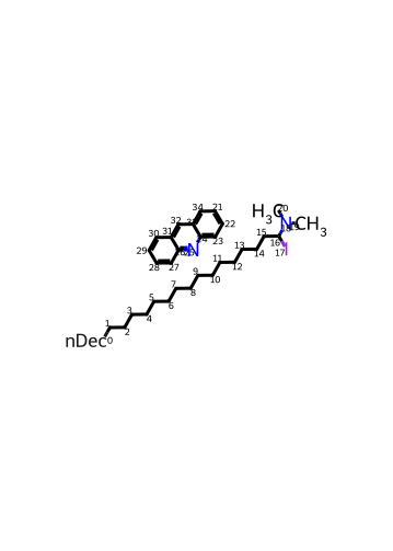 CCCCCCCCCCCCCCCCCCCCCCCCCC(I)N(C)C.c1ccc2nc3ccccc3cc2c1